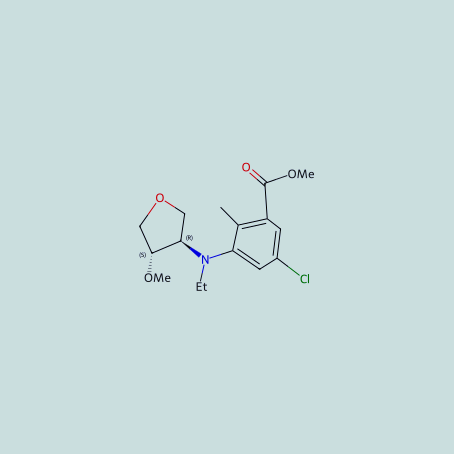 CCN(c1cc(Cl)cc(C(=O)OC)c1C)[C@@H]1COC[C@H]1OC